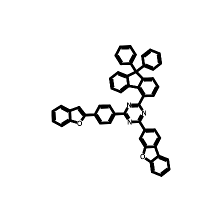 c1ccc(C2(c3ccccc3)c3ccccc3-c3c(-c4nc(-c5ccc(-c6cc7ccccc7o6)cc5)nc(-c5ccc6c(c5)oc5ccccc56)n4)cccc32)cc1